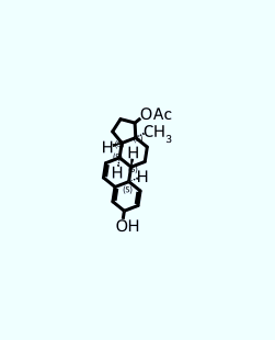 CC(=O)OC1CC[C@H]2[C@@H]3C=CC4=CC(O)C=C[C@@H]4[C@H]3CC[C@]12C